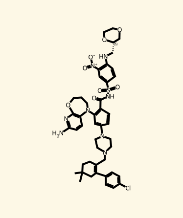 CC1(C)CCC(CN2CCN(c3ccc(C(=O)NS(=O)(=O)c4ccc(NC[C@H]5COCCO5)c([N+](=O)[O-])c4)c(N4CCCOc5nc(N)ccc54)c3)CC2)=C(c2ccc(Cl)cc2)C1